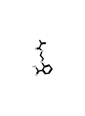 C=C(C)C(=O)OCCOc1ccccc1C(=O)O